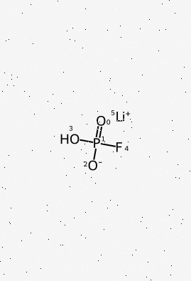 O=P([O-])(O)F.[Li+]